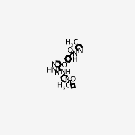 Cc1ccnc(NC(=O)c2ccc(Oc3ccnc4[nH]nc(N[C@@H]5CCCN(C(=O)C6(C)CCC6)C5)c34)cc2)c1